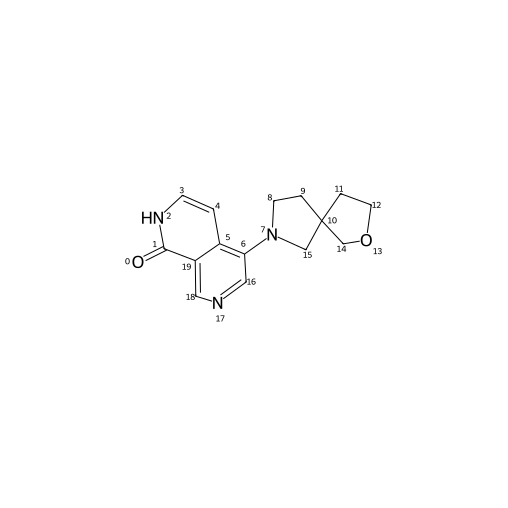 O=c1[nH]ccc2c(N3CCC4(CCOC4)C3)cncc12